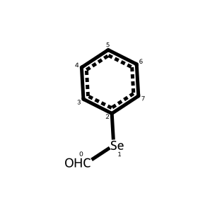 O=C[Se]c1ccccc1